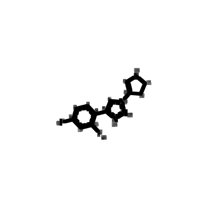 Fc1ccc(-c2cn(C3=CSCC3)nn2)c(F)c1